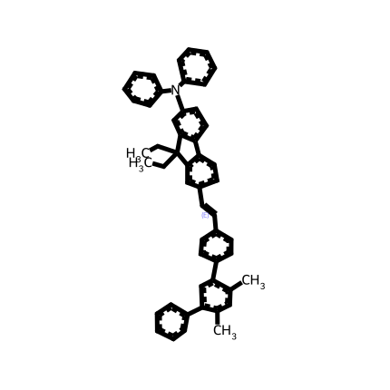 CCC1(CC)c2cc(/C=C/c3ccc(-c4cc(-c5ccccc5)c(C)cc4C)cc3)ccc2-c2ccc(N(c3ccccc3)c3ccccc3)cc21